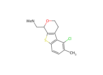 CNCC1OCCc2c1sc1ccc(C)c(Cl)c21